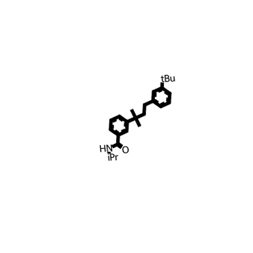 CC(C)NC(=O)c1cccc(C(C)(C)CCc2cccc(C(C)(C)C)c2)c1